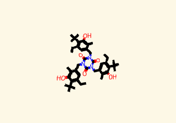 CCc1cc(Cn2c(=O)n(Cc3cc(CC)c(C(C)(C)C)c(O)c3C)c(=O)n(Cc3cc(CC)c(C(C)(C)C)c(O)c3C)c2=O)c(C)c(O)c1C(C)(C)C